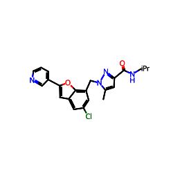 Cc1cc(C(=O)NC(C)C)nn1Cc1cc(Cl)cc2cc(-c3cccnc3)oc12